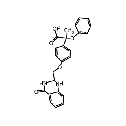 CC(Oc1ccccc1)(C(=O)O)c1ccc(OCC2NC(=O)c3ccccc3N2)cc1